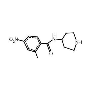 Cc1cc([N+](=O)[O-])ccc1C(=O)NC1CCNCC1